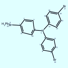 Brc1ccc(N(c2ccc(Br)cc2)c2ccc(Br)cc2)cc1.[PbH2]